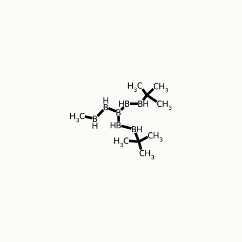 CBBB(BBC(C)(C)C)BBC(C)(C)C